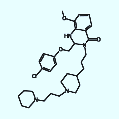 COc1cccc2c1NC(COc1ccc(Cl)cc1)N(CCCC1CCN(CCCN3CCCCC3)CC1)C2=O